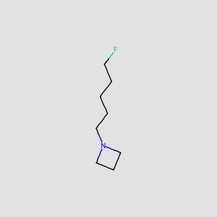 FCCCCCN1CCC1